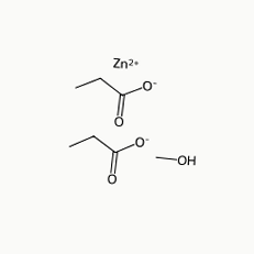 CCC(=O)[O-].CCC(=O)[O-].CO.[Zn+2]